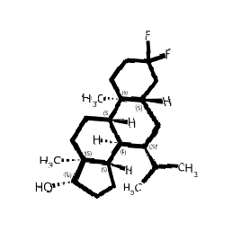 CC(C)[C@@H]1C[C@H]2CC(F)(F)CC[C@]2(C)[C@H]2CC[C@]3(C)[C@@H](O)CC[C@H]3[C@H]12